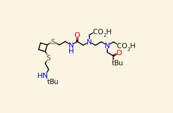 CC(C)(C)NCCSC1CCC1SCCNC(=O)CN(CCN(CC(=O)O)CC(=O)C(C)(C)C)CC(=O)O